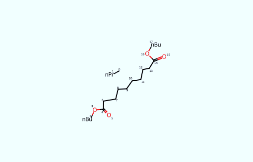 CCCC.CCCCOC(=O)CCCCCCCCC(=O)OCCCC